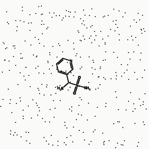 CC(c1cccnc1)S(N)(=O)=O